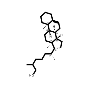 CC(CO)CCC[C@@H](C)[C@H]1CC[C@H]2[C@@H]3CC=C4CCCC[C@]4(C)[C@H]3CC[C@]12C